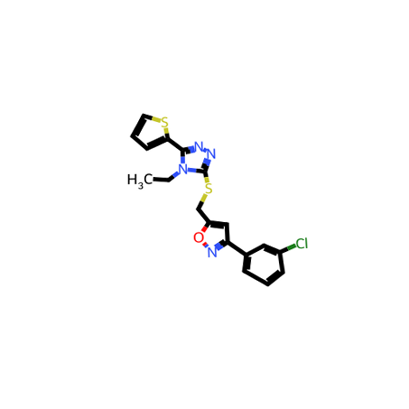 CCn1c(SCc2cc(-c3cccc(Cl)c3)no2)nnc1-c1cccs1